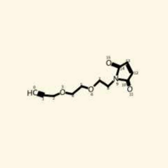 C#CCOCCOCCN1C(=O)C=CC1=O